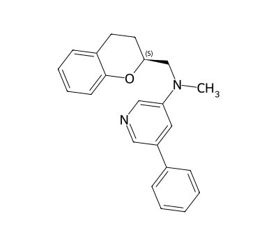 CN(C[C@@H]1CCc2ccccc2O1)c1cncc(-c2ccccc2)c1